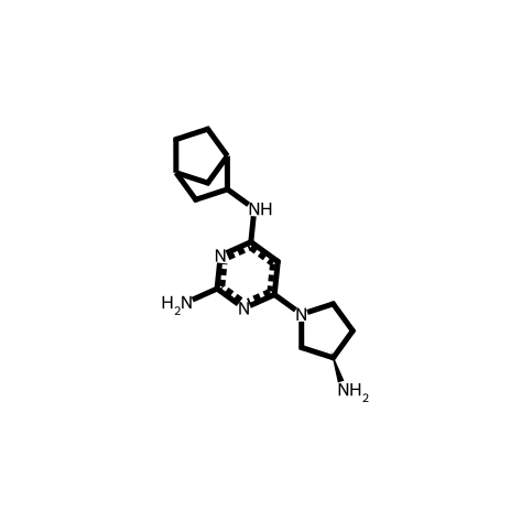 Nc1nc(NC2CC3CCC2C3)cc(N2CC[C@@H](N)C2)n1